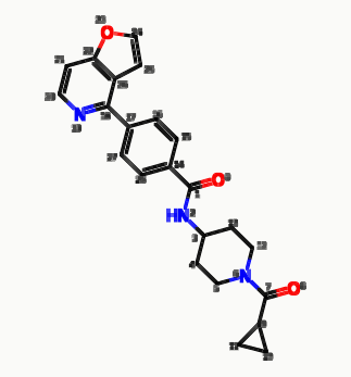 O=C(NC1CCN(C(=O)C2CC2)CC1)c1ccc(-c2nccc3occc23)cc1